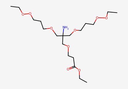 CCOOCCCOCC(N)(COCCCOOCC)COCCC(=O)OCC